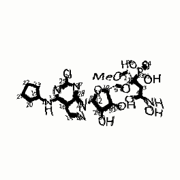 COC[C@](CC(=O)NO)(OC[C@H]1O[C@@H](n2ncc3c(NC4CCCC4)nc(Cl)nc32)[C@H](O)[C@@H]1O)P(=O)(O)O